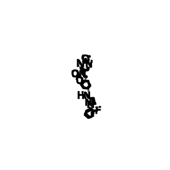 COc1ncc(N2C[C@]3(CC[C@@H](CNc4ccn(-c5ccccc5F)n4)CC3)OC2=O)cn1